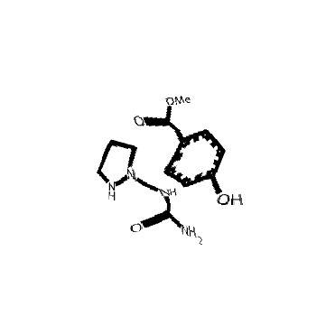 COC(=O)c1ccc(O)cc1.NC(=O)NN1CCCN1